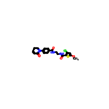 COc1cc(Cl)c(C(=O)NCCNC(=O)c2ccc(N3CCCCC3=O)cc2)s1